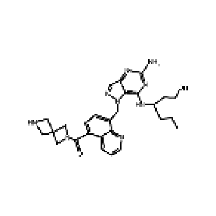 CCCC(CCO)Nc1nc(N)nc2cnn(Cc3ccc(C(=O)N4CC5(CNC5)C4)c4cccnc34)c12